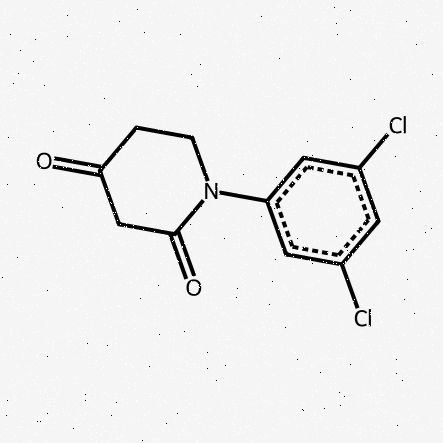 O=C1CCN(c2cc(Cl)cc(Cl)c2)C(=O)C1